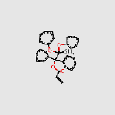 C=CC(=O)OC(c1ccccc1)(c1ccccc1)C([SiH3])(Oc1ccccc1)Oc1ccccc1